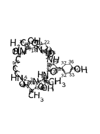 C[C@@H]1C[C@H]2C(=O)NCCCCC(=O)N[C@@H]([C@@H](C)O)C(=O)N3CCC[C@H]3C(=O)N[C@@H](CCC3=CC=C(O)CC3)C(=O)N[C@@H]([C@@H](C)O)C(=O)N2C1